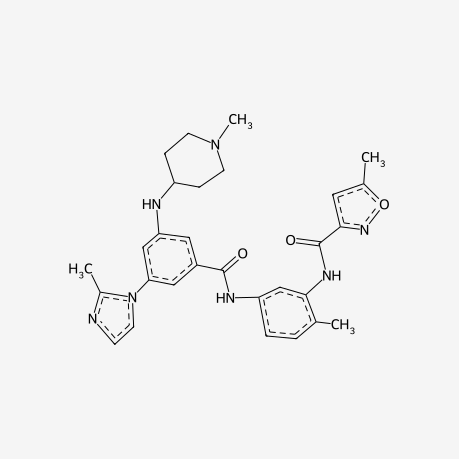 Cc1cc(C(=O)Nc2cc(NC(=O)c3cc(NC4CCN(C)CC4)cc(-n4ccnc4C)c3)ccc2C)no1